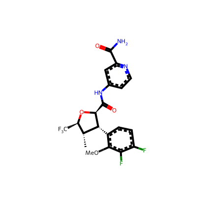 COc1c([C@@H]2[C@H](C)[C@@H](C(F)(F)F)O[C@H]2C(=O)Nc2ccnc(C(N)=O)c2)ccc(F)c1F